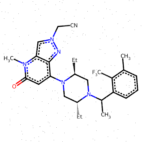 CC[C@H]1CN(C(C)c2cccc(C)c2C(F)(F)F)[C@H](CC)CN1c1cc(=O)n(C)c2cn(CC#N)nc12